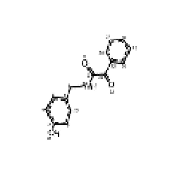 O=C(NCc1ccc(O)cc1)C(=O)c1ccccc1